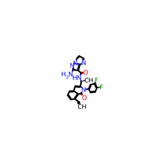 C#Cc1cccc2cc([C@H](C)NC(=O)c3c(N)nn4cccnc34)n(-c3ccc(F)c(F)c3)c(=O)c12